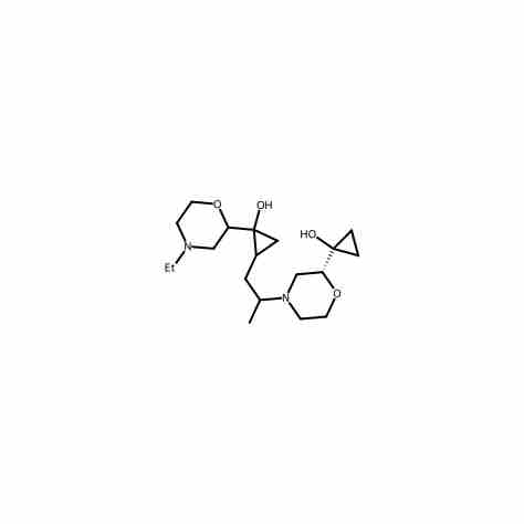 CCN1CCOC(C2(O)CC2CC(C)N2CCO[C@@H](C3(O)CC3)C2)C1